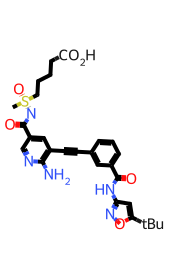 CC(C)(C)c1cc(NC(=O)c2cccc(C#Cc3cc(C(=O)N=S(C)(=O)CCCCC(=O)O)cnc3N)c2)no1